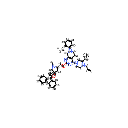 C=CCN1CCN(c2nc(OC[C@@H]3C[C@@H](O[Si](c4ccccc4)(c4ccccc4)C(C)(C)C)CN3C)nc3c2CCN(c2ccccc2C(F)(F)F)C3)CC1CC#N